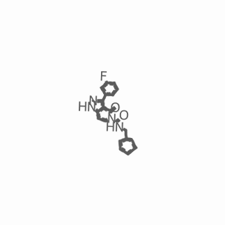 O=C(NCc1ccccc1)n1ccc2[nH]nc(-c3cccc(F)c3)c2c1=O